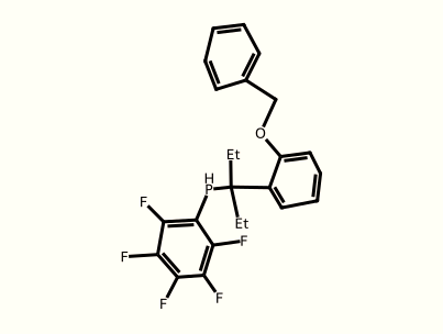 CCC(CC)(Pc1c(F)c(F)c(F)c(F)c1F)c1ccccc1OCc1ccccc1